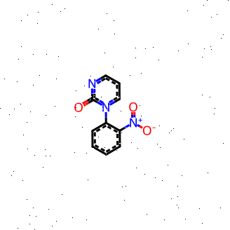 O=c1ncccn1-c1ccccc1[N+](=O)[O-]